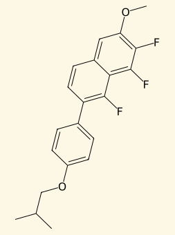 COc1cc2ccc(-c3ccc(OCC(C)C)cc3)c(F)c2c(F)c1F